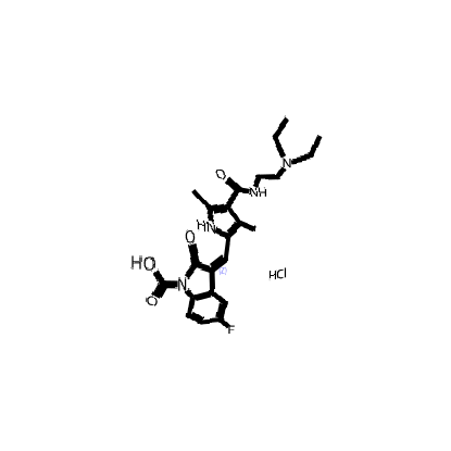 CCN(CC)CCNC(=O)c1c(C)[nH]c(/C=C2\C(=O)N(C(=O)O)c3ccc(F)cc32)c1C.Cl